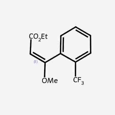 CCOC(=O)/C=C(/OC)c1ccccc1C(F)(F)F